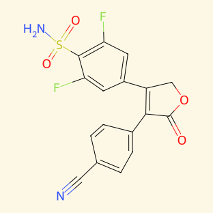 N#Cc1ccc(C2=C(c3cc(F)c(S(N)(=O)=O)c(F)c3)COC2=O)cc1